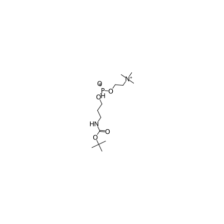 CC(C)(C)OC(=O)NCCCO[PH](=O)OCC[N+](C)(C)C